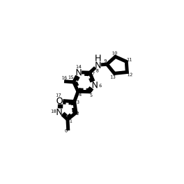 Cc1cc(-c2cnc(NC3CCCC3)nc2C)on1